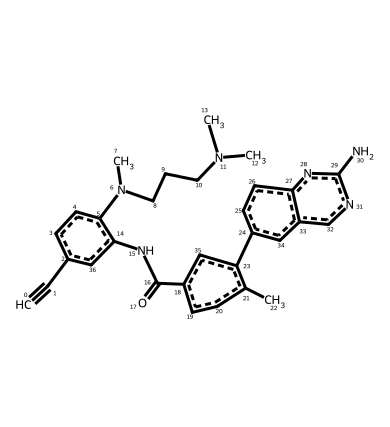 C#Cc1ccc(N(C)CCCN(C)C)c(NC(=O)c2ccc(C)c(-c3ccc4nc(N)ncc4c3)c2)c1